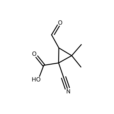 CC1(C)C(C=O)C1(C#N)C(=O)O